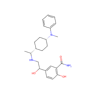 CC(NCC(O)c1ccc(O)c(C(N)=O)c1)[C@H]1CC[C@@H](N(C)c2ccccc2)CC1